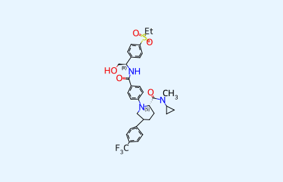 CCS(=O)(=O)c1ccc([C@H](CO)NC(=O)c2ccc(N3CC(c4ccc(C(F)(F)F)cc4)CC[C@H]3C(=O)N(C)C3CC3)cc2)cc1